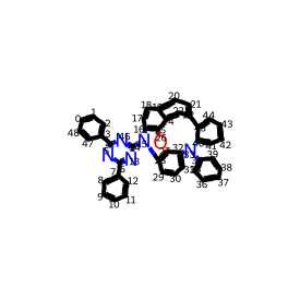 c1ccc(-c2nc(-c3ccccc3)nc(-n3c4ccc5ccc6cc5c4Oc4c3cccc4n(-c3ccccc3)c3ccccc63)n2)cc1